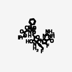 CC(C)OC(=O)C(C)NP(=O)(OC[C@H]1O[C@@H](n2cc(F)c3c(=O)[nH]c(N)nc32)[C@@](N)(C#CCF)C1O)Oc1ccccc1